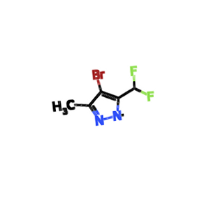 CC1=N[N]C(C(F)F)=C1Br